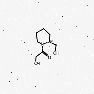 N#CCC(=O)N1CCCC[C@H]1CO